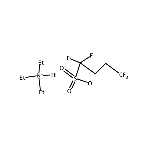 CC[N+](CC)(CC)CC.O=S(=O)([O-])C(F)(F)CCC(F)(F)F